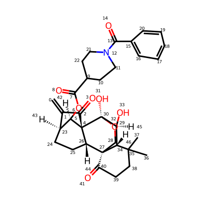 C=C1C(=O)[C@]23[C@H](OC(=O)C4CCN(C(=O)c5ccccc5)CC4)[C@H]1CC[C@H]2[C@@]12CO[C@@]3(O)[C@@H](O)[C@@H]1C(C)(C)CCC2=O